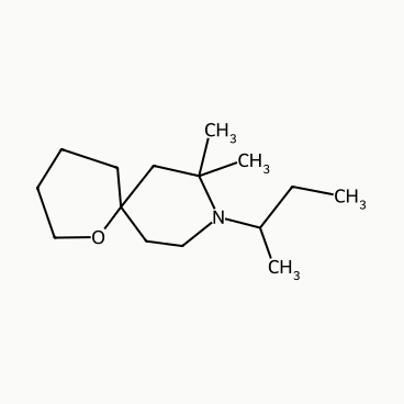 CCC(C)N1CCC2(CCCCO2)CC1(C)C